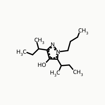 CCCCn1nc(C(C)CC)c(O)c1C(C)CC